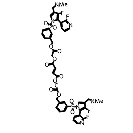 CNCc1cn(S(=O)(=O)c2cccc(COC(=O)COC(=O)/C=C/C(=O)OCC(=O)OCc3cccc(S(=O)(=O)n4cc(CNC)c(F)c4-c4cccnc4F)c3)c2)c(-c2cccnc2F)c1F